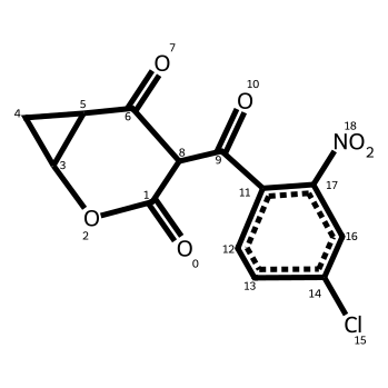 O=C1OC2CC2C(=O)C1C(=O)c1ccc(Cl)cc1[N+](=O)[O-]